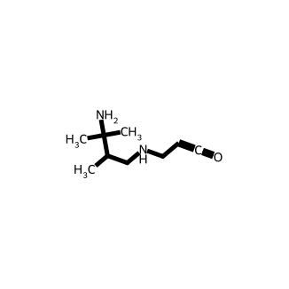 CC(CNCC=C=O)C(C)(C)N